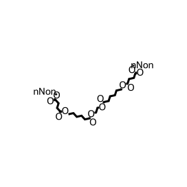 CCCCCCCCCOC(=O)CCC(=O)OCCCCCC(=O)OCCOC(=O)CCCCCOC(=O)CCC(=O)OCCCCCCCCC